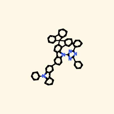 c1ccc(-c2nc(-c3ccccc3)nc(-n3c4ccc(-c5ccc6c(c5)c5ccccc5n6-c5ccccc5)cc4c4ccc5c(c43)-c3ccccc3C53c4ccccc4-c4ccccc43)n2)cc1